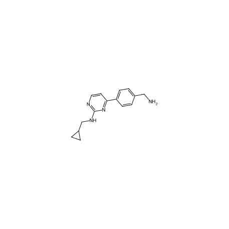 NCc1ccc(-c2ccnc(NCC3CC3)n2)cc1